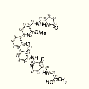 COc1nc(-c2cccc(-c3nccc(Nc4nccc(CNC[C@@H](C)O)c4F)c3Cl)c2Cl)ccc1CNC[C@@H]1CCC(=O)N1